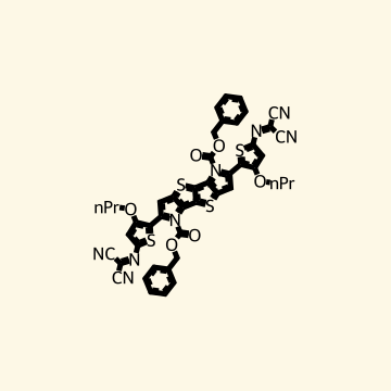 CCCOc1cc(N=C(C#N)C#N)sc1-c1cc2sc3c(sc4cc(-c5sc(N=C(C#N)C#N)cc5OCCC)n(C(=O)OCc5ccccc5)c43)c2n1C(=O)OCc1ccccc1